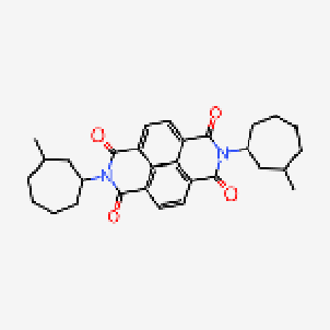 CC1CCCCC(N2C(=O)c3ccc4c5c(ccc(c35)C2=O)C(=O)N(C2CCCCC(C)C2)C4=O)C1